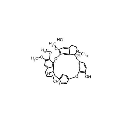 COc1cc2c3cc1Oc1c(OC)c(OC)cc4c1[C@H](Cc1ccc(cc1)Oc1cc(ccc1O)C[C@H]3N(C)CC2)N(C)CC4.Cl